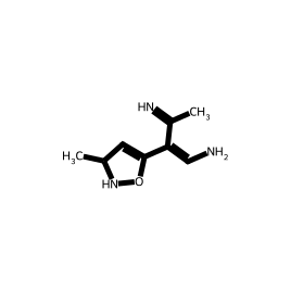 CC(=N)/C(=C\N)C1=CC(C)NO1